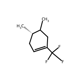 CC1CC(C(F)(F)F)=CC[C@@H]1C